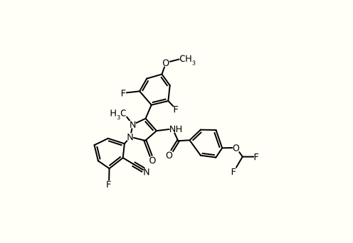 COc1cc(F)c(-c2c(NC(=O)c3ccc(OC(F)F)cc3)c(=O)n(-c3cccc(F)c3C#N)n2C)c(F)c1